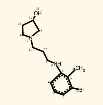 Cc1c(Br)cccc1NCCCN1CC[C@@H](O)C1